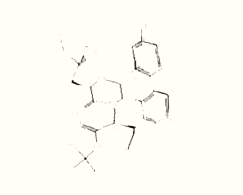 CC[C@@H](C(=O)OC(C)(C)C)N1C(=O)[C@@H](CC(=O)OC)O[C@H](c2cccc(Cl)c2)[C@H]1c1ccc(Cl)cc1